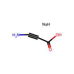 NC#CC(=O)O.[NaH]